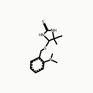 CN(C)c1ccccc1CSC1NC(=S)NC1(C)C